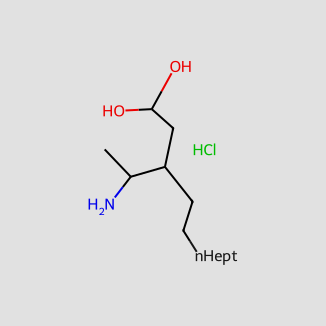 CCCCCCCCCC(CC(O)O)C(C)N.Cl